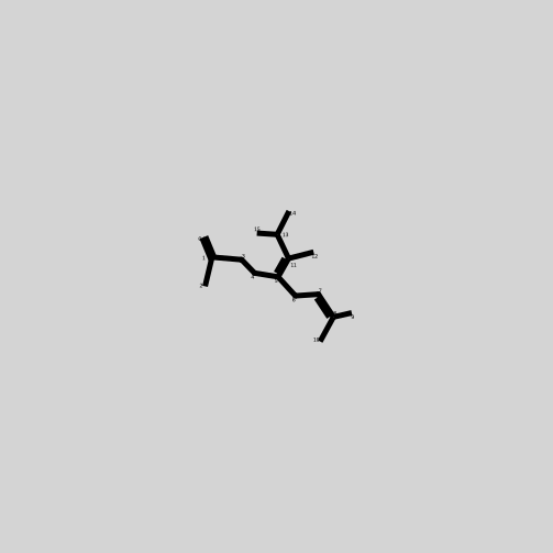 C=C(C)CCC(CC=C(C)C)=C(C)C(C)C